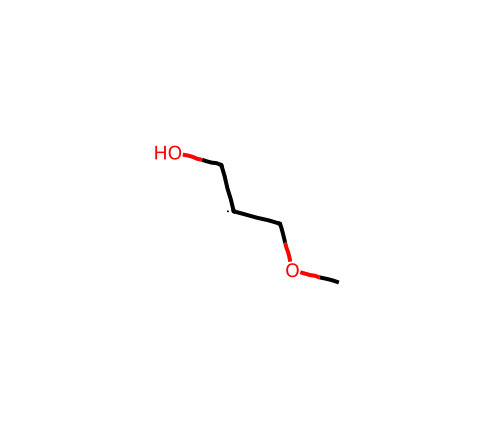 COC[CH]CO